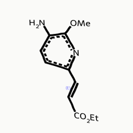 CCOC(=O)/C=C/c1ccc(N)c(OC)n1